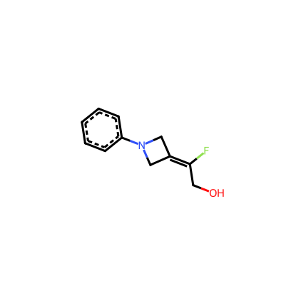 OCC(F)=C1CN(c2ccccc2)C1